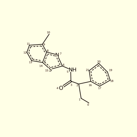 CCC(C(=O)Nc1nc2c(C)cccc2s1)c1ccccc1